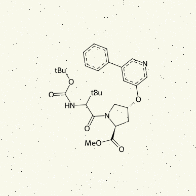 COC(=O)[C@@H]1C[C@@H](Oc2cncc(-c3ccccc3)c2)CN1C(=O)C(NC(=O)OC(C)(C)C)C(C)(C)C